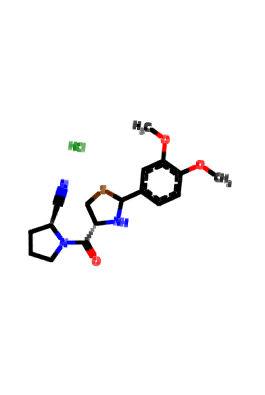 COc1ccc(C2N[C@H](C(=O)N3CCC[C@H]3C#N)CS2)cc1OC.Cl